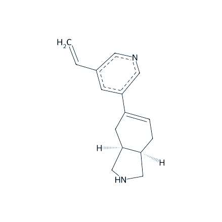 C=Cc1cncc(C2=CC[C@H]3CNC[C@H]3C2)c1